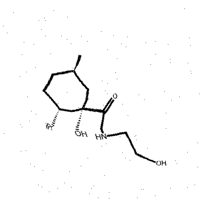 CC(C)[C@@H]1CC[C@@H](C)C[C@@]1(O)C(=O)NCCO